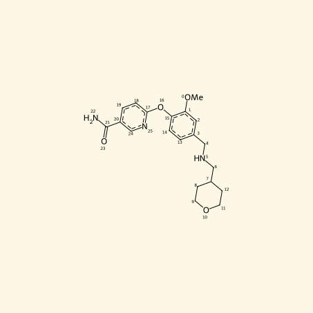 COc1cc(CNCC2CCOCC2)ccc1Oc1ccc(C(N)=O)cn1